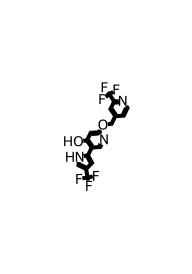 Oc1cc(OCc2ccnc(C(F)(F)F)c2)ncc1-c1cc(C(F)(F)F)c[nH]1